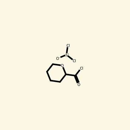 O=C(Cl)C1CCCCO1.[O-][S+](Cl)Cl